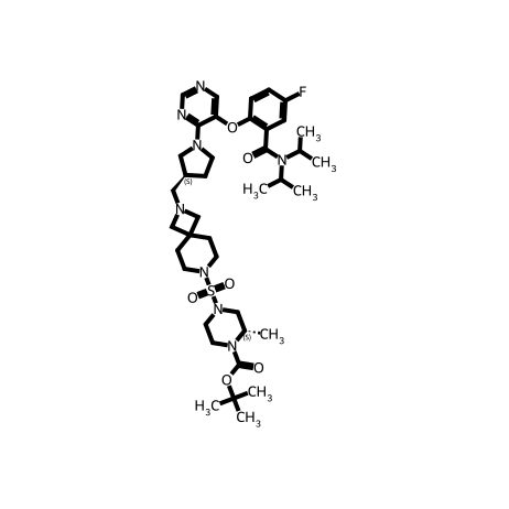 CC(C)N(C(=O)c1cc(F)ccc1Oc1cncnc1N1CC[C@@H](CN2CC3(CCN(S(=O)(=O)N4CCN(C(=O)OC(C)(C)C)[C@@H](C)C4)CC3)C2)C1)C(C)C